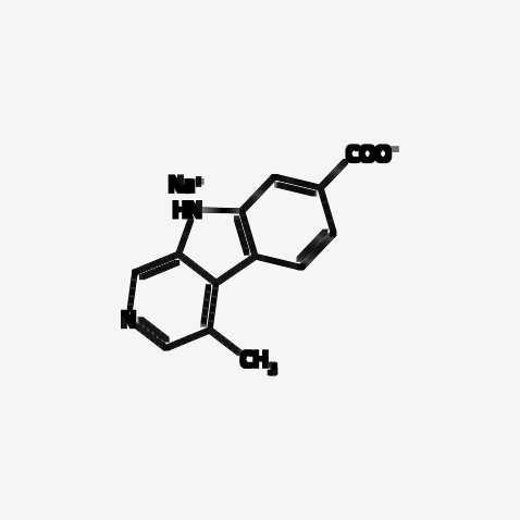 Cc1cncc2[nH]c3cc(C(=O)[O-])ccc3c12.[Na+]